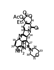 CC[C@@]1(OC(C)=O)C(=O)OCc2c1cc1n(c2=O)Cc2c-1nc1ccc(N)c(N)c1c2CCN1CCOCC1